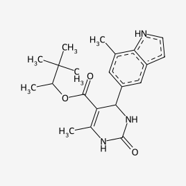 CC1=C(C(=O)OC(C)C(C)(C)C)C(c2cc(C)c3[nH]ccc3c2)NC(=O)N1